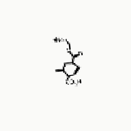 CCCCCCCCCCOC(=O)C1C=CC(C(=O)O)C(C)C1